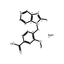 COc1cc(C(=O)O)ccc1Cn1c(C)nc2cnccc21.[NaH]